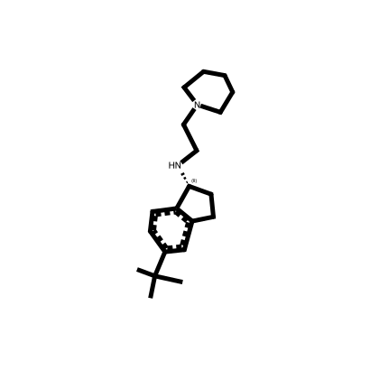 CC(C)(C)c1ccc2c(c1)CC[C@H]2NCCN1CCCCC1